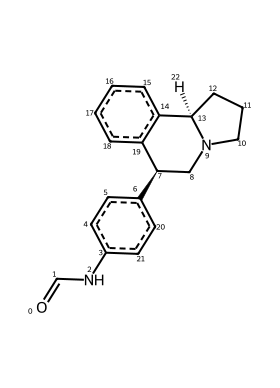 O=CNc1ccc([C@@H]2CN3CCC[C@@H]3c3ccccc32)cc1